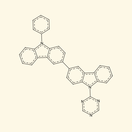 c1ccc(-n2c3ccccc3c3cc(-c4ccc5c(c4)c4ccccc4n5-c4ncncn4)ccc32)cc1